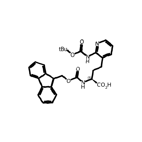 CC(C)(C)OC(=O)Nc1ncccc1CC[C@H](NC(=O)OCC1c2ccccc2-c2ccccc21)C(=O)O